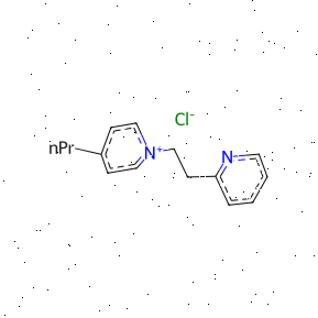 CCCc1cc[n+](CCc2ccccn2)cc1.[Cl-]